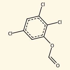 O=COc1cc(Cl)cc(Cl)c1Cl